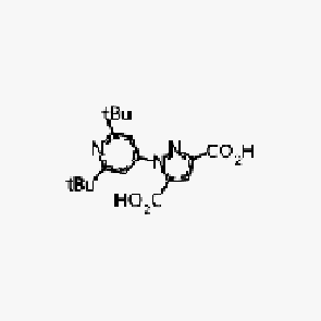 CC(C)(C)c1cc(-n2nc(C(=O)O)cc2C(=O)O)cc(C(C)(C)C)n1